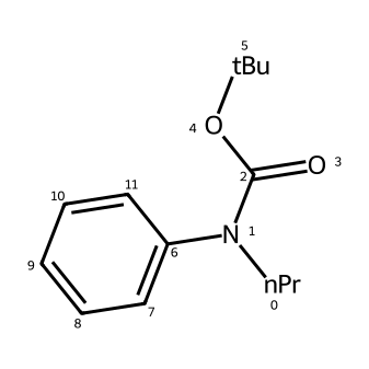 CCCN(C(=O)OC(C)(C)C)c1ccccc1